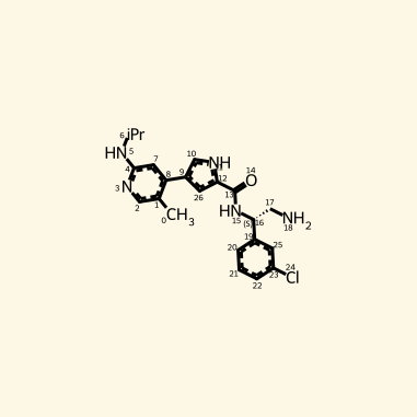 Cc1cnc(NC(C)C)cc1-c1c[nH]c(C(=O)N[C@H](CN)c2cccc(Cl)c2)c1